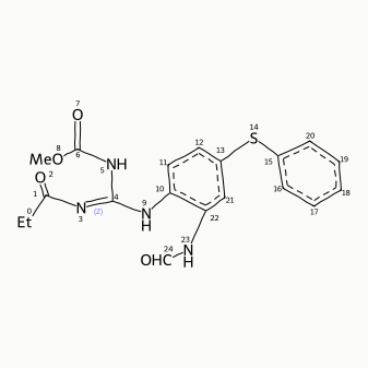 CCC(=O)/N=C(\NC(=O)OC)Nc1ccc(Sc2ccccc2)cc1NC=O